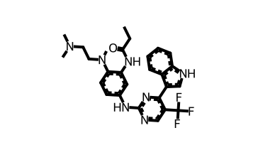 CCC(=O)Nc1cc(Nc2ncc(C(F)(F)F)c(-c3c[nH]c4ccccc34)n2)ccc1N(C)CCN(C)C